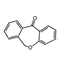 O=C1c2ccccc2COc2c[c]ccc21